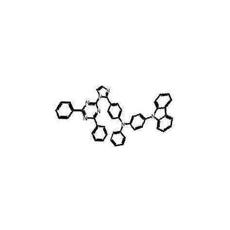 c1ccc(-c2nc(-c3ccccc3)nc(-n3ccnc3-c3ccc(N(c4ccccc4)c4ccc(-n5c6ccccc6c6ccccc65)cc4)cc3)n2)cc1